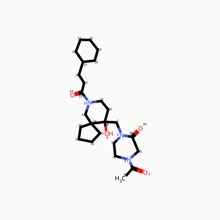 CC(=O)N1CCN(CC2(O)CCN(C(=O)CCC3CCCCC3)CC23CCCC3)C(=O)C1